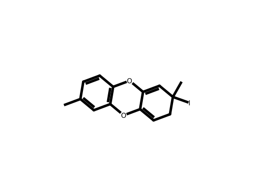 Cc1ccc2c(c1)OC1=CCC(C)(I)C=C1O2